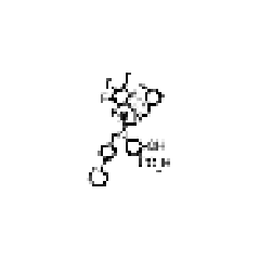 Cc1cccc(CN(CC(=O)N(Cc2ccc(C3CCCCC3)cc2)c2ccc(C(=O)O)c(O)c2)S(=O)(=O)c2c(F)c(F)c(F)c(F)c2F)c1